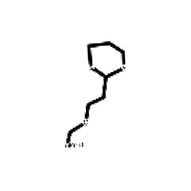 CCCCCCOCCC1SCCCS1